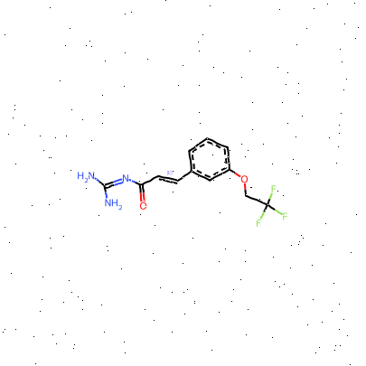 NC(N)=NC(=O)/C=C/c1cccc(OCC(F)(F)F)c1